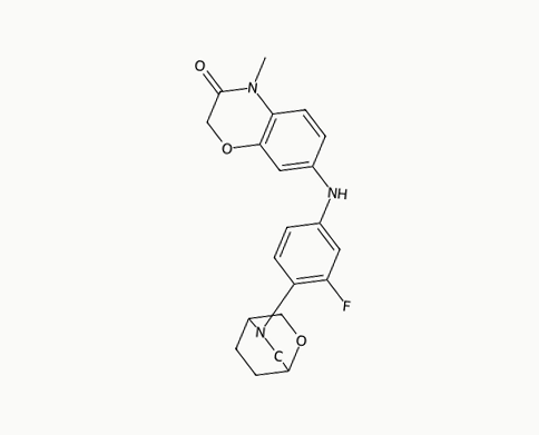 CN1C(=O)COc2cc(Nc3ccc(N4CC5CCC4CO5)c(F)c3)ccc21